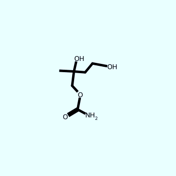 CC(O)(CCO)COC(N)=O